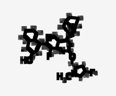 CN1C[C@H](F)C[C@H]1COc1nc(N2CC3CCC(C2)N3)c2cnc(-c3cc(O)cc4ccccc34)c(F)c2n1